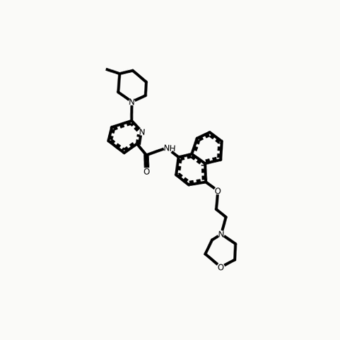 CC1CCCN(c2cccc(C(=O)Nc3ccc(OCCN4CCOCC4)c4ccccc34)n2)C1